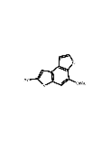 COc1cc2sc(C(C)=O)cc2c2ccoc12